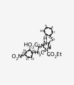 CCOC(=O)[N+]1(C)N=C(Sc2ccccc2)NN1C(Cc1ccc([N+](=O)[O-])cc1)C(=O)O